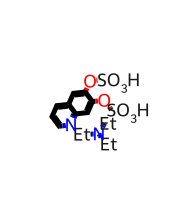 CCN(CC)CC.O=S(=O)(O)Oc1cc2cccnc2cc1OS(=O)(=O)O